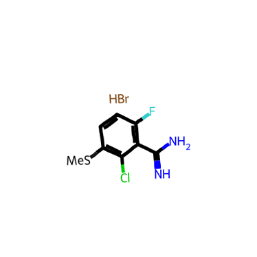 Br.CSc1ccc(F)c(C(=N)N)c1Cl